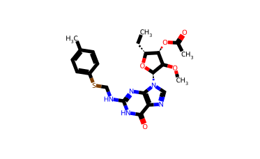 CC[C@H]1O[C@@H](n2cnc3c(=O)[nH]c(NCSc4ccc(C)cc4)nc32)C(OC)[C@H]1OC(C)=O